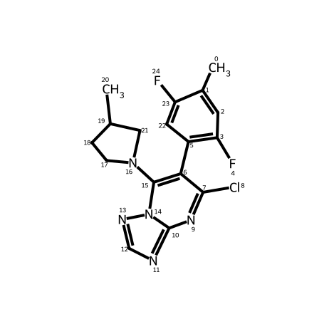 Cc1cc(F)c(-c2c(Cl)nc3ncnn3c2N2CCC(C)C2)cc1F